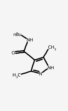 CCCCNC(=O)c1c(C)n[nH]c1C